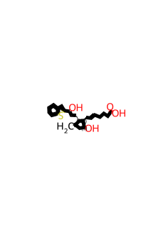 C=C1C[C@H](O)[C@H](CC=CCCCC(=O)O)[C@H]1CCC(O)c1cc2ccccc2s1